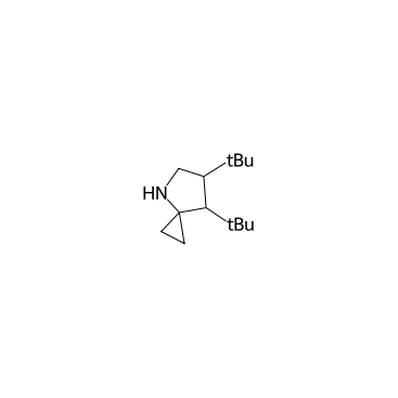 CC(C)(C)C1CNC2(CC2)C1C(C)(C)C